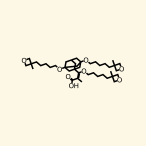 CC(C(=O)O)=C(OCCCCCC1(C)COC1)C12CC3CC(OCCCCCC4(C)COC4)(CC(OCCCCCC4(C)COC4)(C3)C1)C2